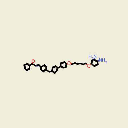 Nc1ccc(OCCCCCCOc2ccc(-c3ccc(Cc4ccc(/C=C/C(=O)c5ccccc5)cc4)cc3)cc2)cc1N